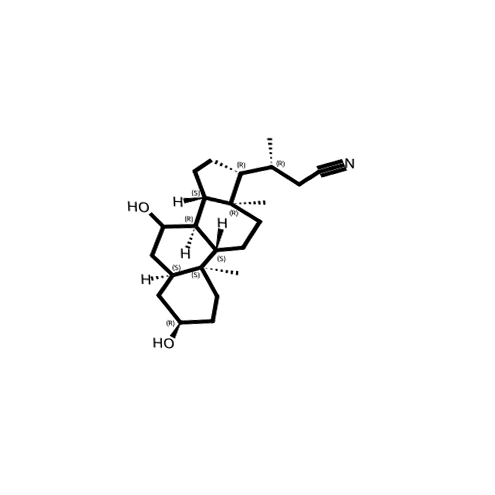 C[C@H](CC#N)[C@H]1CC[C@H]2[C@@H]3C(O)C[C@@H]4C[C@H](O)CC[C@]4(C)[C@H]3CC[C@]12C